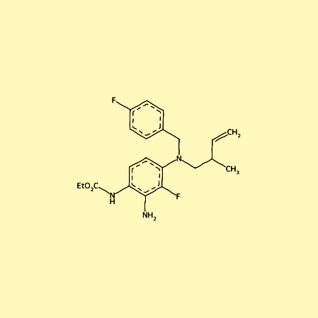 C=CC(C)CN(Cc1ccc(F)cc1)c1ccc(NC(=O)OCC)c(N)c1F